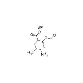 CC(CN)CC(C(=O)OCCl)C(=O)OC(C)(C)C